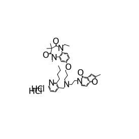 CCCCc1ncccc1CN(CCCOc1ccc2c(c1)N(C)C(=O)C(C)(C)C(=O)N2CC)CCn1ccc2oc(C)cc2c1=O.Cl.Cl